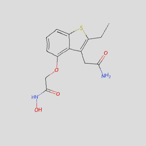 CCc1sc2cccc(OCC(=O)NO)c2c1CC(N)=O